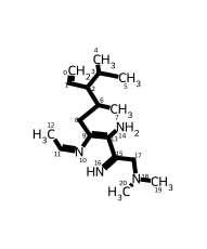 C=CC(C(C)C)C(C)CC(/N=C\C)=C(\N)C(=N)CN(C)C